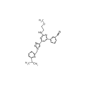 COCCNc1nc(-c2cccc(C#N)c2)cc(-c2cn(Cc3cccc(C(C)C)n3)nn2)n1